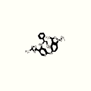 COB1OC(C)c2cc(Nc3cc(N[C@H](CO)c4ccccc4)c(-c4nc(C)no4)cn3)ccc21